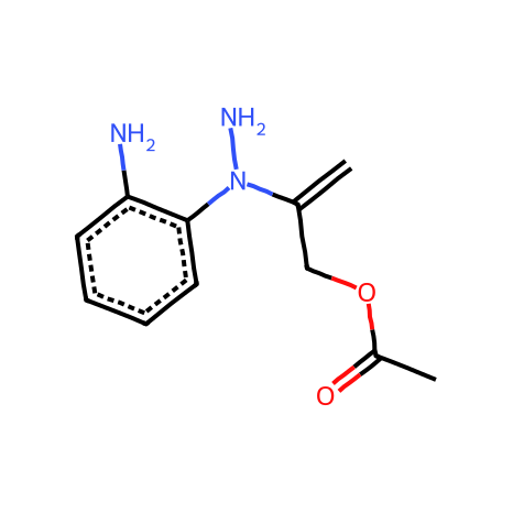 C=C(COC(C)=O)N(N)c1ccccc1N